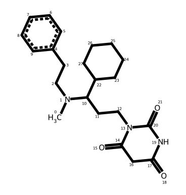 CN(CCc1ccccc1)C(CCN1C(=O)CC(=O)NC1=O)C1CCCCC1